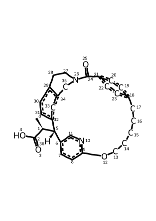 C[C@H](C(=O)O)[C@H]1c2ccc(nc2)OCCCCCc2ccc(cc2)C(=O)N2CCc3ccc1cc3C2